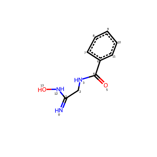 N=C(CNC(=O)c1ccccc1)NO